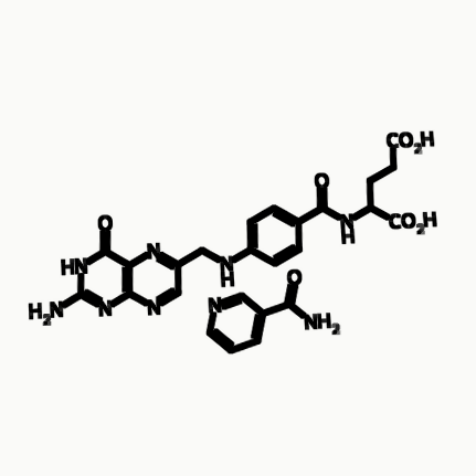 NC(=O)c1cccnc1.Nc1nc2ncc(CNc3ccc(C(=O)NC(CCC(=O)O)C(=O)O)cc3)nc2c(=O)[nH]1